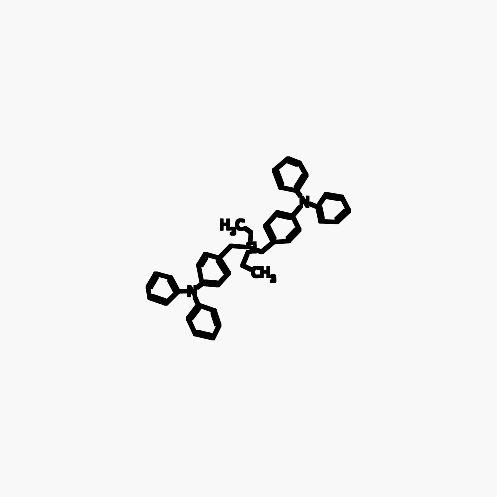 CC[Si](CC)(Cc1ccc(N(c2ccccc2)c2ccccc2)cc1)Cc1ccc(N(c2ccccc2)c2ccccc2)cc1